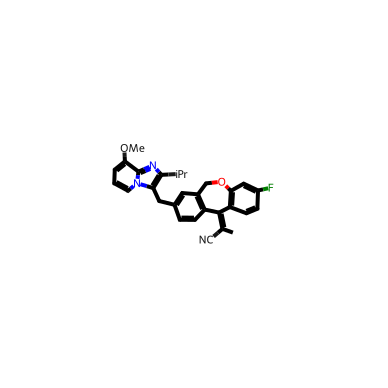 COc1cccn2c(Cc3ccc4c(c3)COc3cc(F)ccc3C4=C(C)C#N)c(C(C)C)nc12